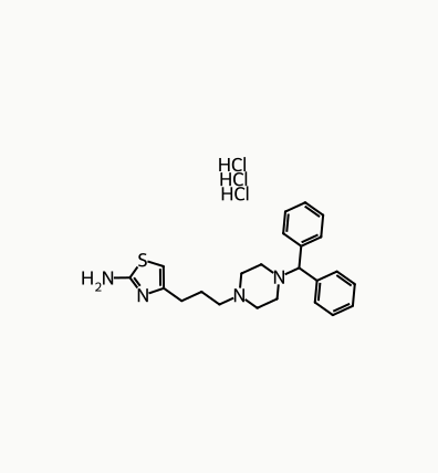 Cl.Cl.Cl.Nc1nc(CCCN2CCN(C(c3ccccc3)c3ccccc3)CC2)cs1